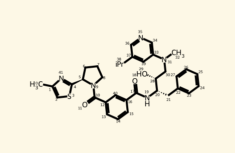 Cc1csc([C@H]2CCCN2C(=O)c2cccc(C(=O)N[C@@H](Cc3ccccc3)[C@H](O)CN(C)c3cncc(C(C)C)c3)c2)n1